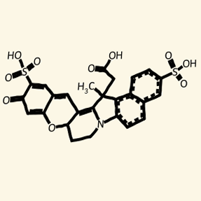 CC1(CC(=O)O)C2=C3C=C4C=C(S(=O)(=O)O)C(=O)C=C4OC3CCN2c2ccc3cc(S(=O)(=O)O)ccc3c21